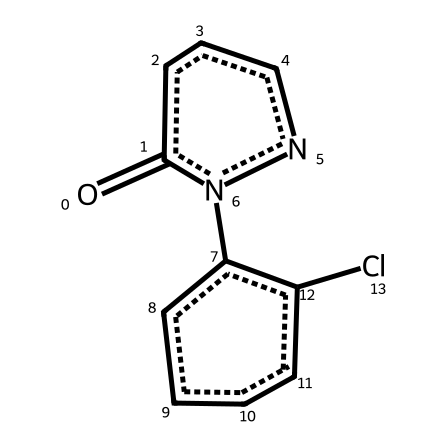 O=c1cccnn1-c1ccccc1Cl